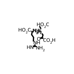 CC(C)CC(=O)C(=O)O.N=C(N)NCCC[C@H](N)C(=O)O.NCC(=O)O